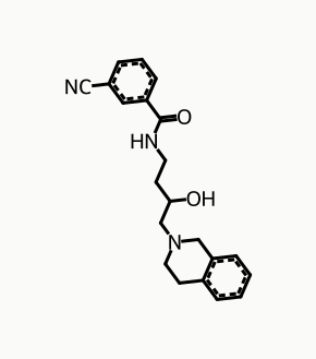 N#Cc1cccc(C(=O)NCCC(O)CN2CCc3ccccc3C2)c1